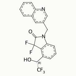 O=C1N(Cc2cnc3ccccc3c2)c2cccc([C@@H](O)C(F)(F)F)c2C1(F)F